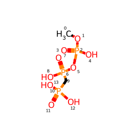 COP(=O)(O)OP(=O)(O)CP(=O)(O)O